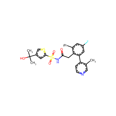 Cc1cnccc1-c1cc(F)cc(C(C)C)c1CC(=O)NS(=O)(=O)c1cc(C(C)(C)O)cs1